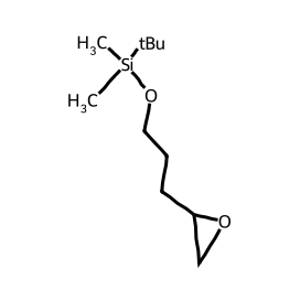 CC(C)(C)[Si](C)(C)OCCCC1CO1